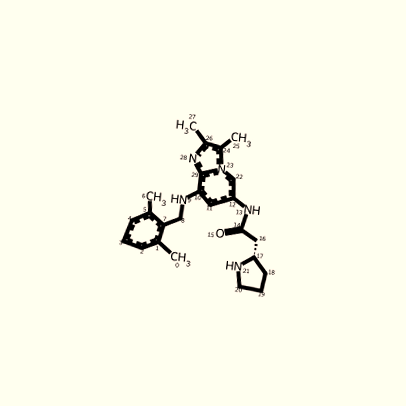 Cc1cccc(C)c1CNc1cc(NC(=O)C[C@@H]2CCCN2)cn2c(C)c(C)nc12